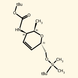 C[C@H]1O[C@H](CO[Si](C)(C)C(C)(C)C)C=C[C@H]1NC(=O)OC(C)(C)C